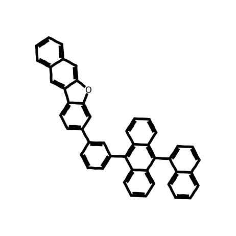 c1cc(-c2ccc3c(c2)oc2cc4ccccc4cc23)cc(-c2c3ccccc3c(-c3cccc4ccccc34)c3ccccc23)c1